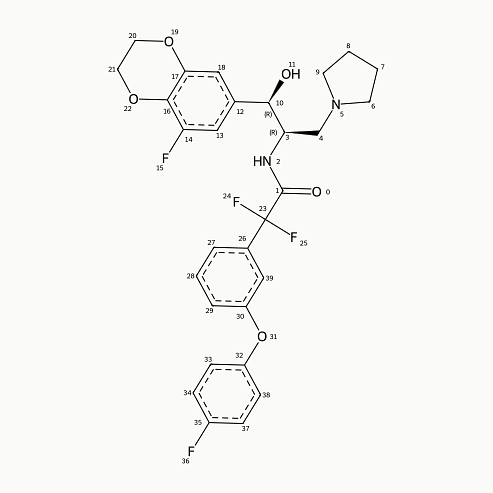 O=C(N[C@H](CN1CCCC1)[C@H](O)c1cc(F)c2c(c1)OCCO2)C(F)(F)c1cccc(Oc2ccc(F)cc2)c1